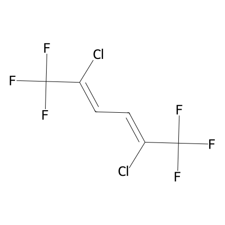 FC(F)(F)C(Cl)=CC=C(Cl)C(F)(F)F